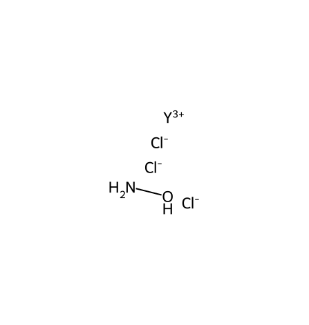 NO.[Cl-].[Cl-].[Cl-].[Y+3]